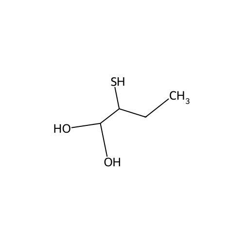 CCC(S)C(O)O